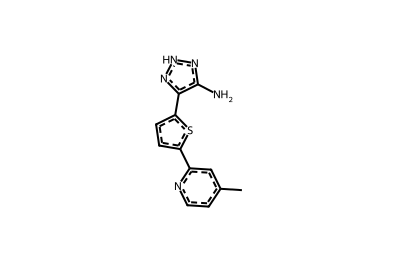 Cc1ccnc(-c2ccc(-c3n[nH]nc3N)s2)c1